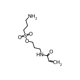 C=CC(=O)NCCCOS(=O)(=O)CCCN